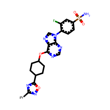 CC(C)c1noc(C2CCC(Oc3ncnc4c3ncn4-c3ccc(S(N)(=O)=O)cc3F)CC2)n1